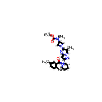 CC(=O)Nc1ccc(C)cc1C(=O)N1CCCC[C@H]1c1cc2nc(N3CC(N(C)C(=O)OC(C)(C)C)C3)c(C)cn2n1